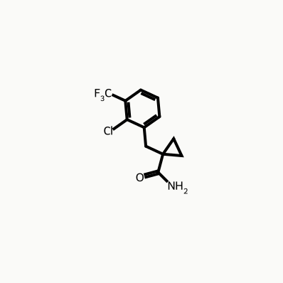 NC(=O)C1(Cc2cccc(C(F)(F)F)c2Cl)CC1